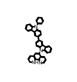 C1=Cc2cc(-n3c4ccccc4c4cc(-c5ccc6c(c5)c5ccccc5n6-c5ccccc5)ccc43)c3cccnc3c2NC1